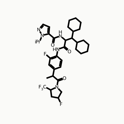 CC(C(=O)N1CC(F)CC1C(F)(F)F)c1ccc(NC(=O)C(NC(=O)c2ccnn2C(C)C)C(C2CCCCC2)C2CCCCC2)c(F)c1